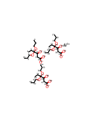 CCCOC(CC)(OCCC)C(=O)CC(=O)[O-].CCCOC(CC)(OCCC)C(=O)CC(=O)[O-].CCCOC(CC)(OCCC)C(=O)CC(=O)[O-].[Al+3]